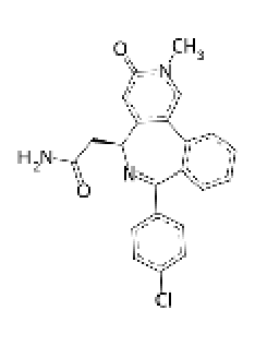 Cn1cc2c(cc1=O)[C@H](CC(N)=O)N=C(c1ccc(Cl)cc1)c1ccccc1-2